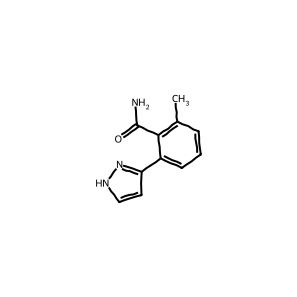 Cc1cccc(-c2cc[nH]n2)c1C(N)=O